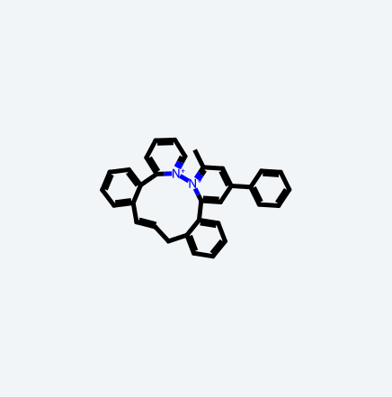 Cc1cc(-c2ccccc2)cc2[n+]1-[n+]1ccccc1-c1ccccc1/C=C/Cc1ccccc1-2